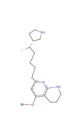 CC(C)Oc1cc(CCCCC(F)[C@@H]2CCNC2)nc2c1CCCN2